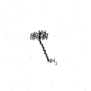 CCCC(N)(CCC)C(CCC)(CCC)C(CCC)(CCC)CCCCCCCCCCCCCN